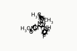 CC(=O)N1CCN(c2cc(Nc3ccc(F)cc3F)nc(-n3nc(C)cc3C)n2)CC1